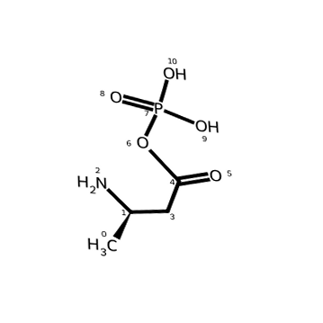 C[C@@H](N)CC(=O)OP(=O)(O)O